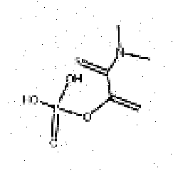 C=C(OP(=O)(O)O)C(=S)N(C)C